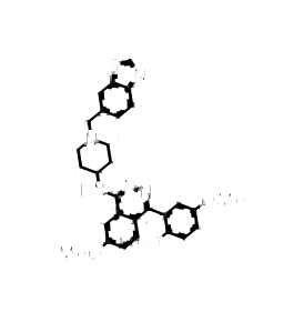 COc1ccc(OC)c(-c2nnc(NC3CCN(Cc4ccc5ncsc5c4)CC3)c3cc(OC)ccc23)c1